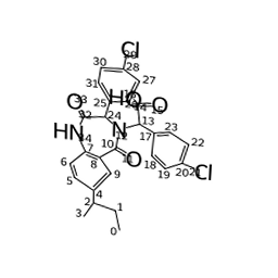 CCC(C)c1ccc2c(c1)C(=O)N(C(C(=O)O)c1ccc(Cl)cc1)C(c1ccc(Cl)cc1)C(=O)N2